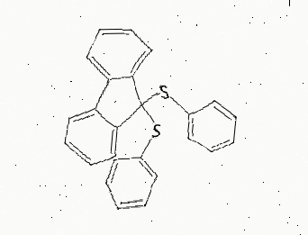 c1ccc(SC2(Sc3ccccc3)c3ccccc3-c3ccccc32)cc1